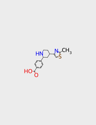 Cc1nc(C2CCNC(c3ccc(C(=O)O)cc3)C2)cs1